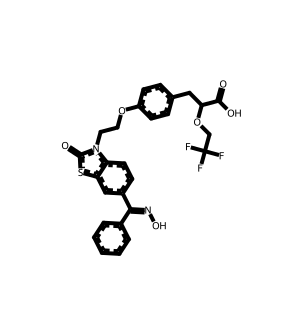 O=C(O)C(Cc1ccc(OCCn2c(=O)sc3cc(/C(=N/O)c4ccccc4)ccc32)cc1)OCC(F)(F)F